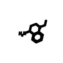 CCN1CCC(N)c2ccccc21